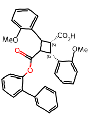 COc1ccccc1C1C(C(=O)Oc2ccccc2-c2ccccc2)[C@@H](c2ccccc2OC)[C@H]1C(=O)O